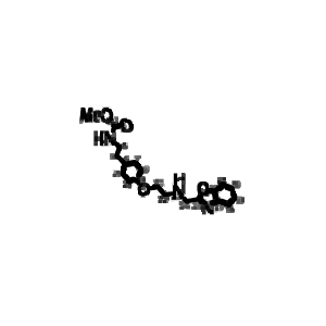 COC(=O)NCCc1ccc(OCCNCc2nc3ccccc3o2)cc1